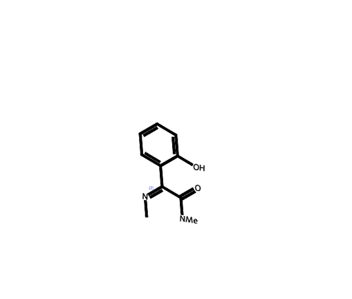 C/N=C(\C(=O)NC)c1ccccc1O